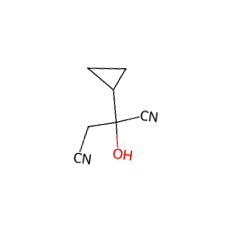 N#CCC(O)(C#N)C1CC1